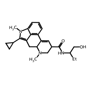 CCC(CO)NC(=O)C1C=C2c3cccc4c3c(c(C3CC3)n4C)CC2N(C)C1